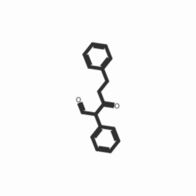 O=CC(C(=O)CCc1ccccc1)c1ccccc1